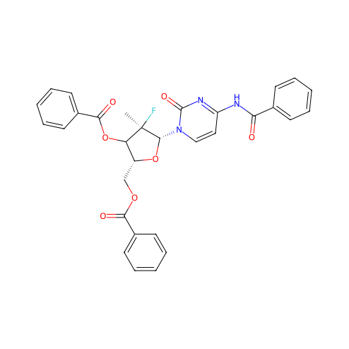 C[C@@]1(F)C(OC(=O)c2ccccc2)[C@@H](COC(=O)c2ccccc2)O[C@H]1n1ccc(NC(=O)c2ccccc2)nc1=O